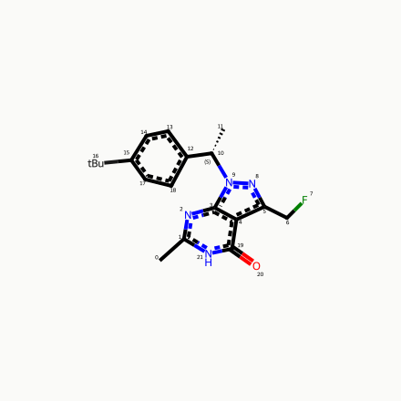 Cc1nc2c(c(CF)nn2[C@@H](C)c2ccc(C(C)(C)C)cc2)c(=O)[nH]1